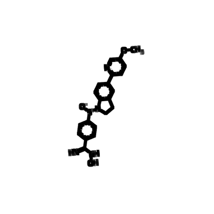 COc1ccc(-c2ccc3c(c2)CCN3[S+]([O-])c2ccc(C(=N)NO)cc2)nc1